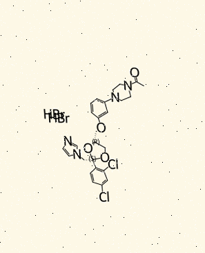 Br.Br.CC(=O)N1CCN(c2cccc(OC[C@@H]3CO[C@@](Cn4ccnc4)(c4ccc(Cl)cc4Cl)O3)c2)CC1